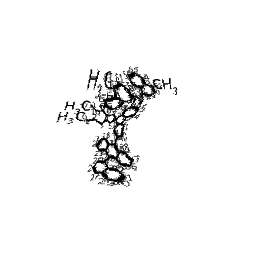 CCCCCCC1(CCCCCC)c2cc(-c3c4ccccc4c(-c4cccc5ccccc45)c4ccccc34)ccc2-c2ccc(N(c3ccc(C)c4ccccc34)c3ccc(C)c4ccccc34)cc21